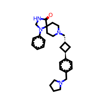 O=C1NCN(c2ccccc2)C12CCN(C[C@H]1C[C@H](c3ccc(CN4CCCC4)cc3)C1)CC2